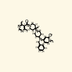 Cc1ncnc(C)c1C(=O)N1CCC(C)(N2CCC(N(Cc3ccccc3)c3ccn(C)c(=O)c3)CC2)CC1